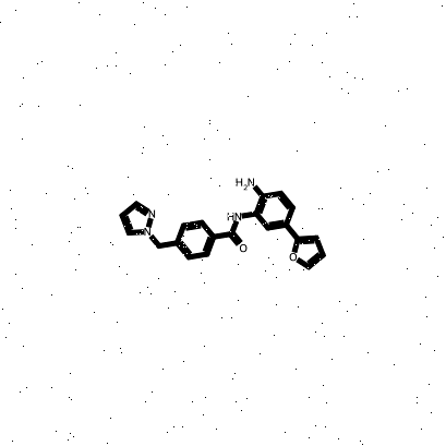 Nc1ccc(-c2ccco2)cc1NC(=O)c1ccc(Cn2cccn2)cc1